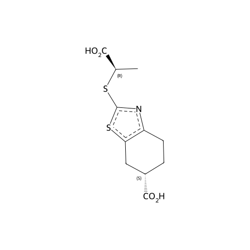 C[C@@H](Sc1nc2c(s1)C[C@@H](C(=O)O)CC2)C(=O)O